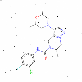 CC1CN(c2cnn3c2CN(C(=O)Nc2ccc(F)c(Cl)c2)[C@@H](C)C3)CC(C)O1